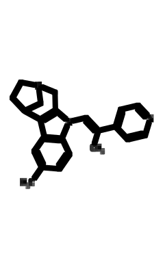 C/C(=C\n1c2c(c3cc(C)ccc31)C1CCN(C2)C1)c1ccncc1